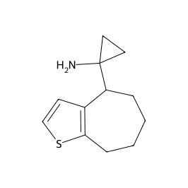 NC1(C2CCCCc3sccc32)CC1